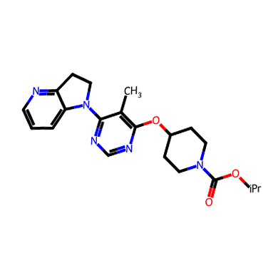 Cc1c(OC2CCN(C(=O)OC(C)C)CC2)ncnc1N1CCc2ncccc21